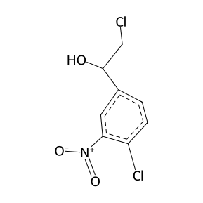 O=[N+]([O-])c1cc(C(O)CCl)ccc1Cl